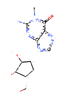 Cn1c(N)nc2c(ncn2[C@@H]2C[C@H](CO)C(O)C2O)c1=O